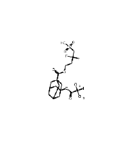 CC(C)(I)C(=O)OC12CC3CC(C1)CC(C(=O)OCCC(F)(F)CS(=O)(=O)O)(C3)C2